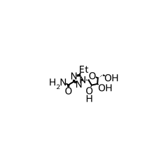 CCc1nc(C(N)=O)nn1[C@@H]1O[C@H](CO)[C@@H](O)[C@H]1O